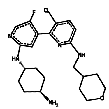 N[C@H]1CC[C@H](Nc2cc(-c3nc(NCC4CCOCC4)ccc3Cl)c(F)cn2)CC1